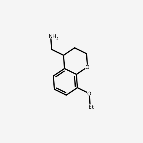 CCOc1cccc2c1OCCC2CN